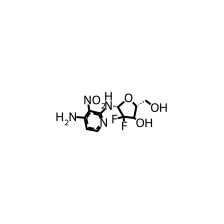 Nc1ccnc(N[C@@H]2O[C@H](CO)[C@@H](O)C2(F)F)c1[N+](=O)[O-]